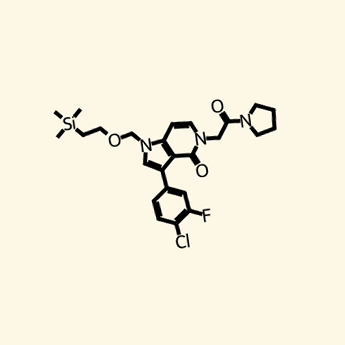 C[Si](C)(C)CCOCn1cc(-c2ccc(Cl)c(F)c2)c2c(=O)n(CC(=O)N3CCCC3)ccc21